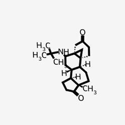 CC(C)(C)NC1C[C@@H]2[C@H](CC[C@]3(C)C(=O)CC[C@@H]23)[C@@]23CCC(=O)C[C@@]12C3